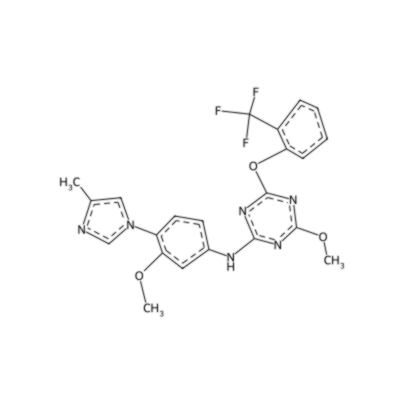 COc1nc(Nc2ccc(-n3cnc(C)c3)c(OC)c2)nc(Oc2ccccc2C(F)(F)F)n1